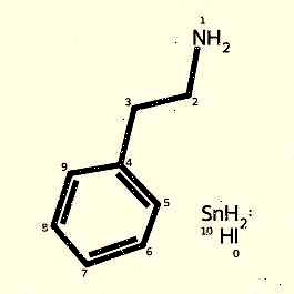 I.NCCc1ccccc1.[SnH2]